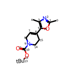 Cc1nc(C)c(C2=CCN(C(=O)OC(C)(C)C)CC2)o1